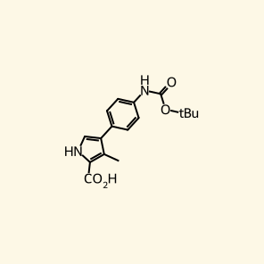 Cc1c(-c2ccc(NC(=O)OC(C)(C)C)cc2)c[nH]c1C(=O)O